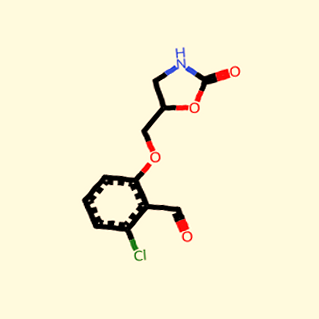 O=Cc1c(Cl)cccc1OCC1CNC(=O)O1